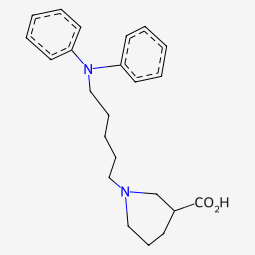 O=C(O)C1CCCN(CCCCCN(c2ccccc2)c2ccccc2)C1